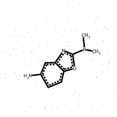 CN(C)c1nc2cc(N)ccc2o1